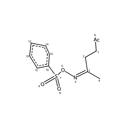 CC(=O)CCC(C)=NOS(=O)(=O)c1ccccc1